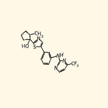 CC1CCCC1(O)c1ncc(-c2cccc(Nc3nccc(C(F)(F)F)n3)c2)s1